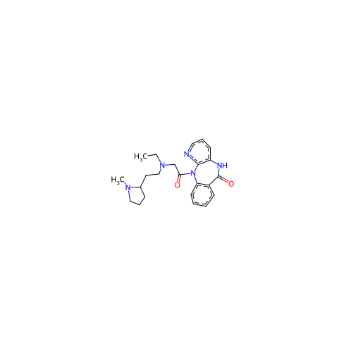 CCN(CCC1CCCN1C)CC(=O)N1c2ccccc2C(=O)Nc2cccnc21